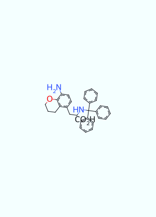 Nc1ccc(CC(NC(c2ccccc2)(c2ccccc2)c2ccccc2)C(=O)O)c2c1OCCC2